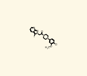 COc1cc(N2CCN(C(=O)Cn3nc4ncccc4c3I)CC2)ccc1Cl